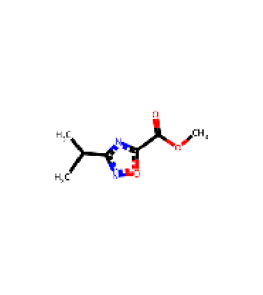 COC(=O)c1nc(C(C)C)no1